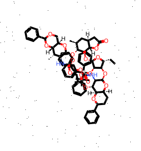 CC[C@H]1O[C@@H](O[C@@H]2[C@H]3OC(=O)C[C@@H]3C[C@H](C)[C@H]2O[C@H]2O[C@@H]3COC(c4ccccc4)O[C@H]3[C@@H](C)[C@H]2NC(=O)OCc2ccccc2)[C@H](O[Si](c2ccccc2)(c2ccccc2)C(C)(C)C)[C@@H]1O[C@H]1O[C@H]2CCC(c3ccccc3)O[C@H]2[C@H](OC(C)=O)[C@H]1NC(=O)OCc1ccccc1